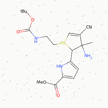 COC(=O)c1ccc(C2[SH](CCNC(=O)OC(C)(C)C)C=C(C#N)C2(C)N)[nH]1